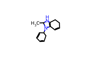 CC1NC2=C(C=CCC2)N1C1C=CC=CC1